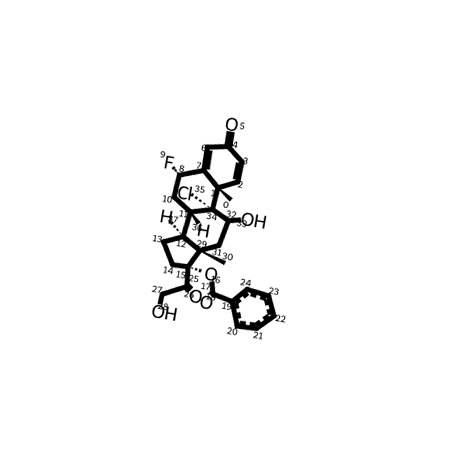 C[C@]12C=CC(=O)C=C1[C@@H](F)C[C@H]1[C@@H]3CC[C@](OC(=O)c4ccccc4)(C(=O)CO)[C@@]3(C)CC(O)[C@@]12Cl